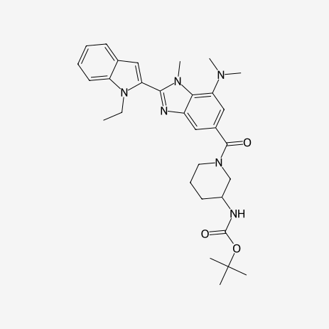 CCn1c(-c2nc3cc(C(=O)N4CCCC(NC(=O)OC(C)(C)C)C4)cc(N(C)C)c3n2C)cc2ccccc21